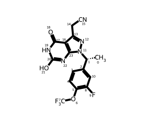 C[C@H](c1ccc(OC(F)(F)F)c(F)c1)n1nc(CC#N)c2c(=O)[nH]c(O)nc21